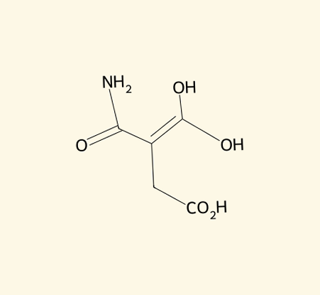 NC(=O)C(CC(=O)O)=C(O)O